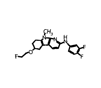 Cn1c2c(c3ccc(Nc4ccc(F)c(F)c4)nc31)CC(OCCF)CC2